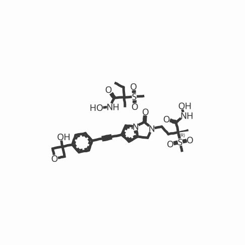 CCC(C)(C(=O)NO)S(C)(=O)=O.C[C@@](CCN1Cc2cc(C#Cc3ccc(C4(O)COC4)cc3)cn2C1=O)(C(=O)NO)S(C)(=O)=O